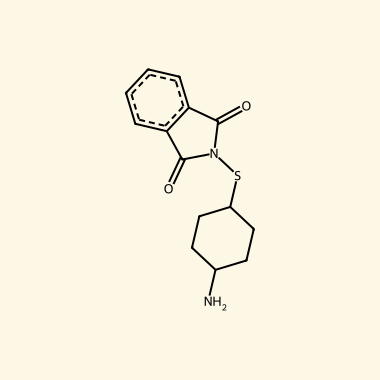 NC1CCC(SN2C(=O)c3ccccc3C2=O)CC1